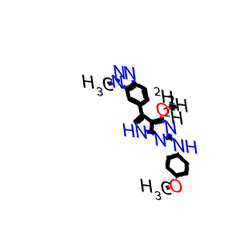 [2H]C([2H])([2H])Oc1nc(N[C@H]2CC[C@@H](OC)CC2)nc2[nH]cc(-c3ccc4nnn(C)c4c3)c12